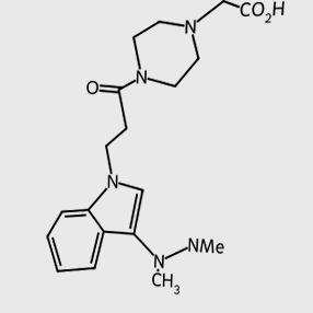 CNN(C)c1cn(CCC(=O)N2CCN(CC(=O)O)CC2)c2ccccc12